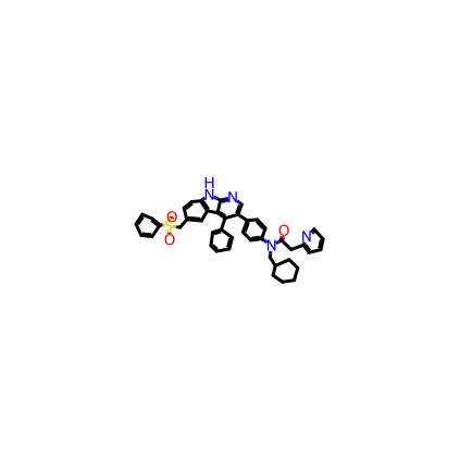 O=C(Cc1ccccn1)N(CC1CCCCC1)c1ccc(-c2cnc3[nH]c4ccc(CS(=O)(=O)c5ccccc5)cc4c3c2-c2ccccc2)cc1